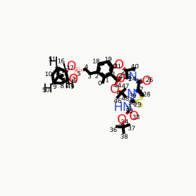 Cc1c(CCB2O[C@@H]3C[C@@H]4C[C@@H](C4(C)C)[C@]3(C)O2)ccc(OC2CN(C(=O)c3csc(NC(=O)OC(C)(C)C)n3)C2)c1C(=O)OC(C)(C)C